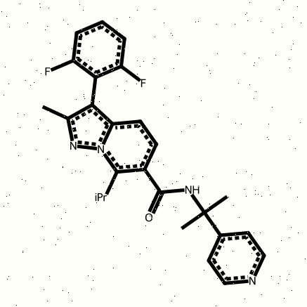 Cc1nn2c(C(C)C)c(C(=O)NC(C)(C)c3ccncc3)ccc2c1-c1c(F)cccc1F